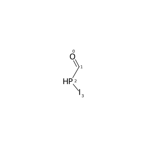 O=CPI